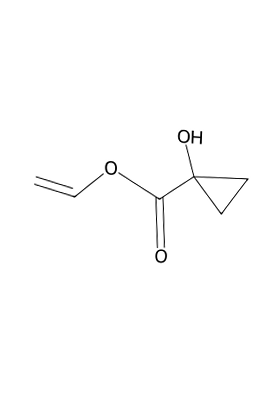 C=COC(=O)C1(O)CC1